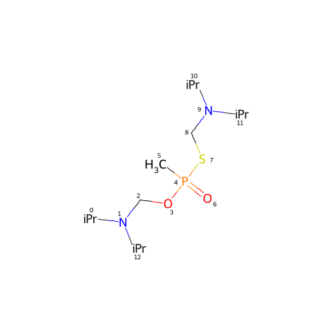 CC(C)N(COP(C)(=O)SCN(C(C)C)C(C)C)C(C)C